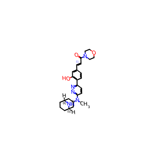 CN(c1ccc(-c2ccc(/C=C/C(=O)N3CCOCC3)cc2O)nn1)[C@@H]1C[C@H]2CCC[C@@H](C1)N2